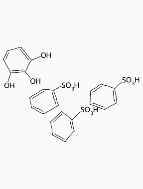 O=S(=O)(O)c1ccccc1.O=S(=O)(O)c1ccccc1.O=S(=O)(O)c1ccccc1.Oc1cccc(O)c1O